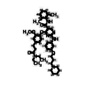 CCN(CC)C(=O)CCc1ccc(Oc2nc(Nc3cccc(OCCCN4CCCCC4)c3)ncc2C(=O)Nc2c(C)cccc2C)c(OC)c1